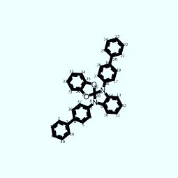 c1ccc(-c2ccc(N3c4ccccc4N(c4ccc(-c5ccccc5)cc4)C34Oc3ccccc3O4)cc2)cc1